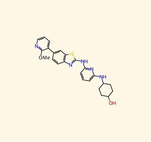 COc1ncccc1-c1ccc2nc(Nc3cccc(NC4CCC(O)CC4)n3)sc2c1